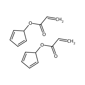 C=CC(=O)OC1C=CC=C1.C=CC(=O)OC1C=CC=C1